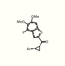 COc1cc2sc(C(=O)[C@H]3C[C@H]3C(C)=O)cc2c(F)c1OC